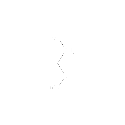 CCCC[SiH2]C[SiH2]CCCC